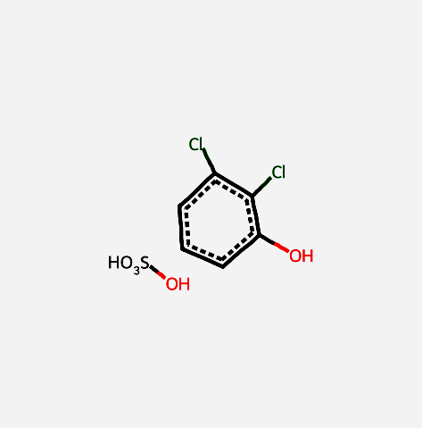 O=S(=O)(O)O.Oc1cccc(Cl)c1Cl